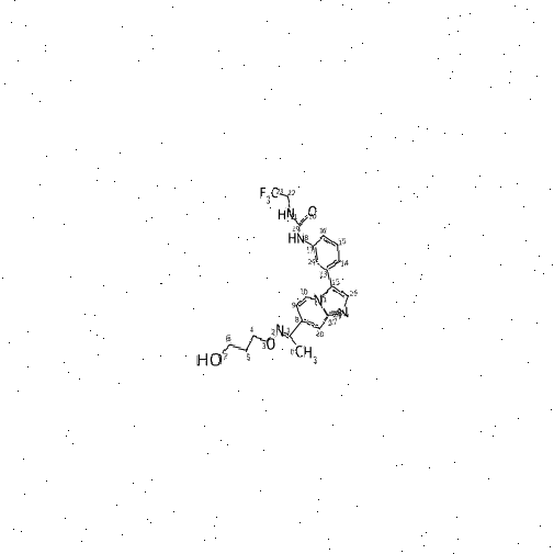 C/C(=N\OCCCO)c1ccn2c(-c3cccc(NC(=O)NCC(F)(F)F)c3)cnc2c1